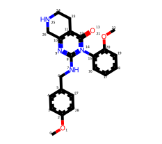 COc1ccc(CNc2nc3c(c(=O)n2-c2ccccc2OC)CCNC3)cc1